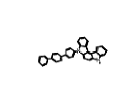 Cn1c2ccccc2c2c3c4ccccc4n(-c4ccc(-c5ccc(-c6ccccc6)cc5)cc4)c3ccc21